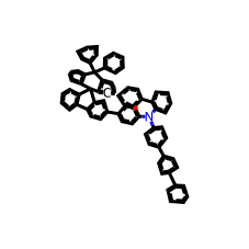 c1ccc(-c2ccc(-c3ccc(N(c4ccc(-c5ccc6c(c5)C5(c7ccccc7-6)c6ccccc6C(c6ccccc6)(c6ccccc6)c6ccccc65)cc4)c4ccccc4-c4ccccc4)cc3)cc2)cc1